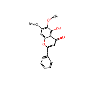 CCCOc1c(OC)cc2oc(-c3ccccc3)cc(=O)c2c1O